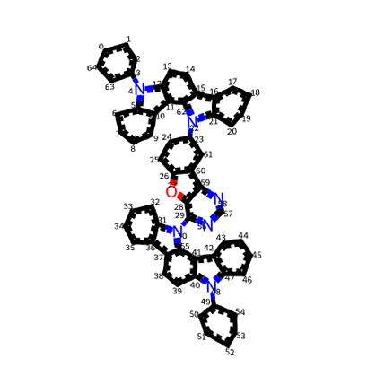 c1ccc(-n2c3ccccc3c3c2ccc2c4ccccc4n(-c4ccc5oc6c(-n7c8ccccc8c8ccc9c(c%10ccccc%10n9-c9ccccc9)c87)ncnc6c5c4)c23)cc1